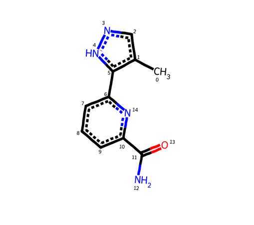 Cc1cn[nH]c1-c1cccc(C(N)=O)n1